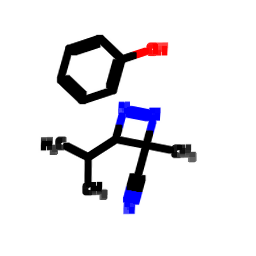 CC(C)C1N=NC1(C)C#N.Oc1ccccc1